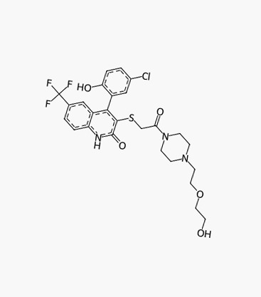 O=C(CSc1c(-c2cc(Cl)ccc2O)c2cc(C(F)(F)F)ccc2[nH]c1=O)N1CCN(CCOCCO)CC1